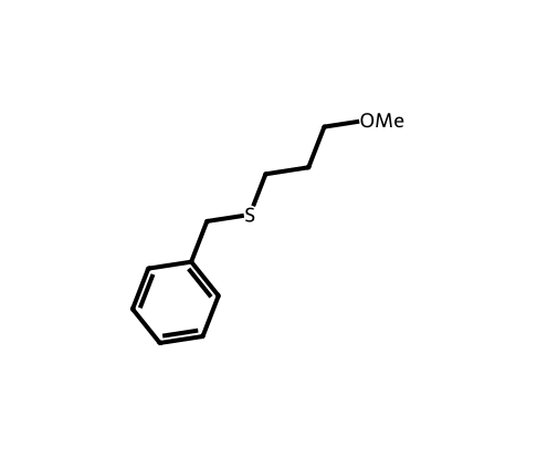 COCCCSCc1ccccc1